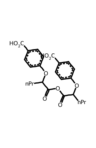 CCCC(Oc1ccc(C(=O)O)cc1)C(=O)OC(=O)C(CCC)Oc1ccc(C(=O)O)cc1